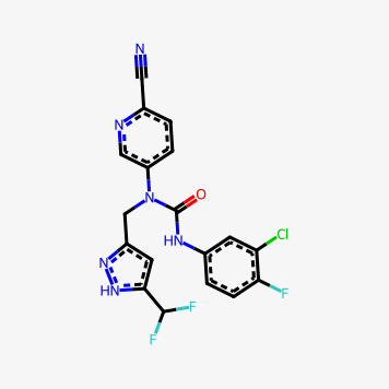 N#Cc1ccc(N(Cc2cc(C(F)F)[nH]n2)C(=O)Nc2ccc(F)c(Cl)c2)cn1